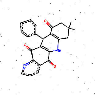 CC1(C)CC(=O)C2=C(C1)NC1=C(C(=O)c3ncccc3C1=O)C2c1ccccc1